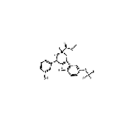 COC(=O)C1(C)Cc2c([nH]c3ccc(OC(F)(F)F)cc23)C(c2cccc(O)c2)N1